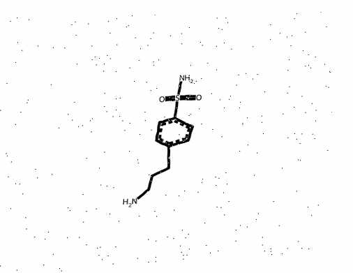 NCCCc1ccc(S(N)(=O)=O)cc1